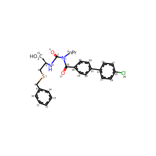 CCCN(C(=O)N[C@@H](CSCc1ccccc1)C(=O)O)C(=O)c1ccc(-c2ccc(Cl)cc2)cc1